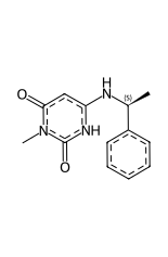 C[C@H](Nc1cc(=O)n(C)c(=O)[nH]1)c1ccccc1